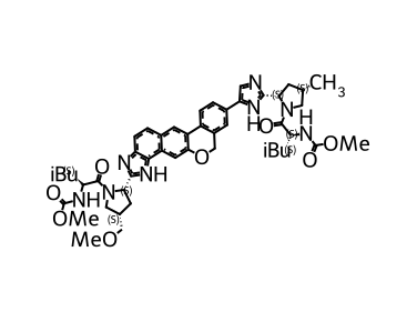 CC[C@H](C)C(NC(=O)OC)C(=O)N1C[C@@H](COC)C[C@H]1c1nc2ccc3cc4c(cc3c2[nH]1)OCc1cc(-c2cnc([C@@H]3C[C@H](C)CN3C(=O)[C@@H](NC(=O)OC)[C@@H](C)CC)[nH]2)ccc1-4